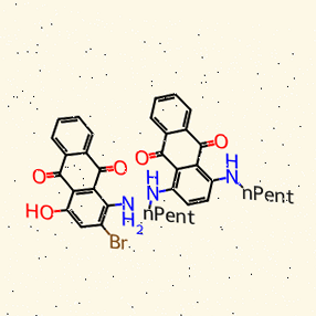 CCCCCNc1ccc(NCCCCC)c2c1C(=O)c1ccccc1C2=O.Nc1c(Br)cc(O)c2c1C(=O)c1ccccc1C2=O